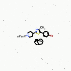 C1C2CC3CC1CC(C2)C3.CCCCCN1CCC(c2nc(C)c(-c3ccc(Br)cc3)s2)CC1